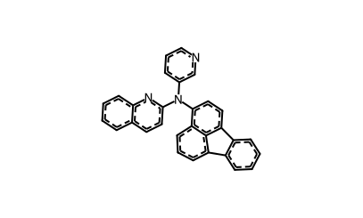 c1cncc(N(c2ccc3ccccc3n2)c2ccc3c4c(cccc24)-c2ccccc2-3)c1